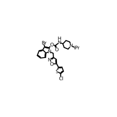 CC(C)N1CCC(NC(=O)Oc2c(Br)c3ccccc3n2Cc2cc(-c3ccc(Cl)s3)on2)CC1